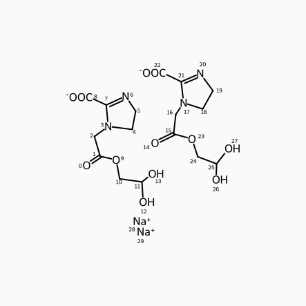 O=C(CN1CCN=C1C(=O)[O-])OCC(O)O.O=C(CN1CCN=C1C(=O)[O-])OCC(O)O.[Na+].[Na+]